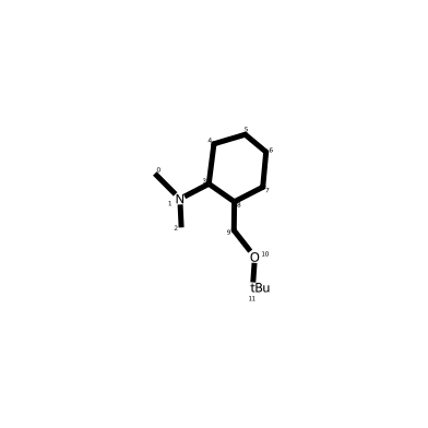 CN(C)C1CCCCC1COC(C)(C)C